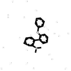 CN(C)c1c[c]ccc1-c1ccccc1Oc1ccccc1